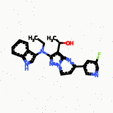 CCN(c1nn2ccc(-c3cncc(F)c3)nc2c1[C@@H](C)O)c1c[nH]c2ccccc12